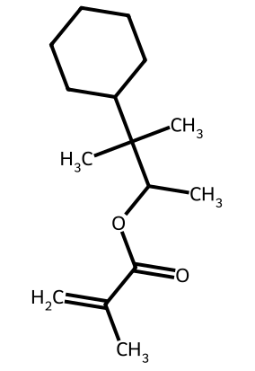 C=C(C)C(=O)OC(C)C(C)(C)C1CCCCC1